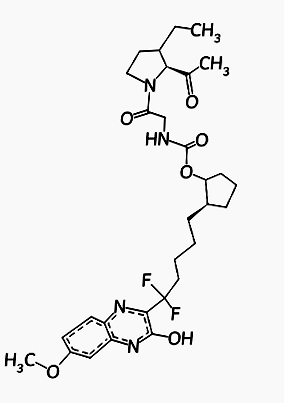 CCC1CCN(C(=O)CNC(=O)OC2CCC[C@H]2CCCCC(F)(F)c2nc3ccc(OC)cc3nc2O)[C@@H]1C(C)=O